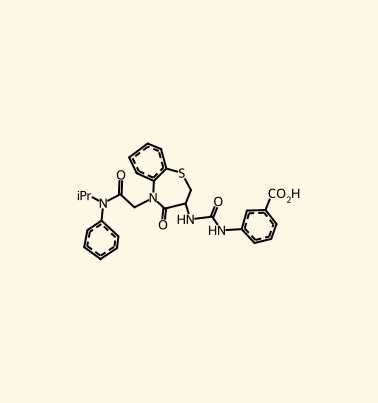 CC(C)N(C(=O)CN1C(=O)C(NC(=O)Nc2cccc(C(=O)O)c2)CSc2ccccc21)c1ccccc1